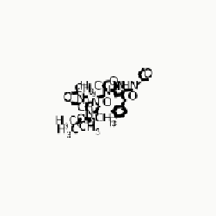 C[C@@H]1CN(CC(=O)N2c3cc(Cc4ccc(F)cc4)c(C(=O)NC[C@@H]4CCOC4)nc3OC[C@@H]2C)[C@@H](CN2[C@H](C)COC[C@H]2C)CN1C(=O)OC(C)(C)C